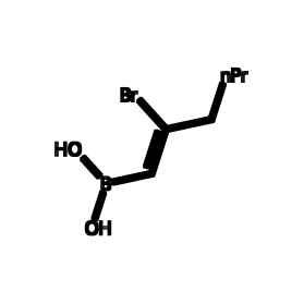 CCCC/C(Br)=C/B(O)O